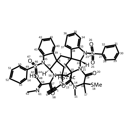 C#CSC1(C(C)=O)CC2(CC34CC5(S)C(=O)N(C)C(C)(SC)C(=O)N5[C@H]3N(S(=O)(=O)c3ccccc3)c3ccccc34)c3ccccc3N(S(=O)(=O)c3ccccc3)[C@@H]2N1C(=O)/C(S)=N/C